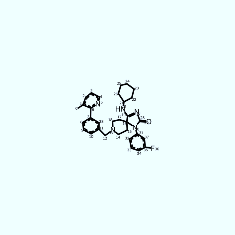 Cc1cccnc1-c1cccc(CN2CCC3(CC2)C(NC2CCCCC2)=NC(=O)N3c2cccc(F)c2)c1